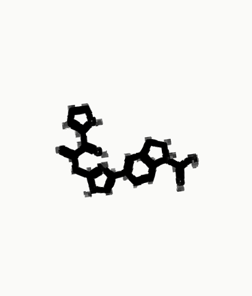 C=C(Cc1nc(-c2ccc3c(c2)CCN3C(=O)CC)cs1)C(=O)c1ccco1